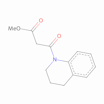 COC(=O)CC(=O)N1CCCc2ccccc21